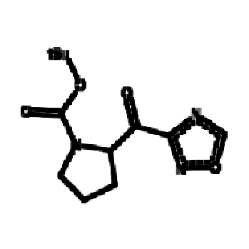 CC(C)(C)OC(=O)N1CCCC1C(=O)c1ncon1